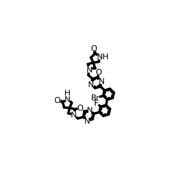 O=C1CC2(CN1)CN1Cc3ncc(-c4cccc(-c5cccc(-c6cnc7c(n6)OC6N(C7)CC67CNC(=O)C7)c5Br)c4F)nc3OC12